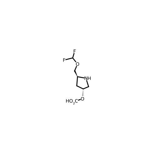 O=C(O)O[C@H]1CN[C@H](COC(F)F)C1